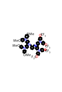 COc1ccc(N(c2ccc(OC)cc2)c2ccc3c(c2)c2cc(N(c4ccc(OC)cc4)c4ccc(OC)cc4)ccc2n3Cc2ccccc2Cn2c3ccc(N(c4ccc(OC(F)(F)F)cc4)c4ccc(OC(F)(F)F)cc4)cc3c3cc(N(c4ccc(OC(F)(F)F)cc4)c4ccc(OC(F)(F)F)cc4)ccc32)cc1